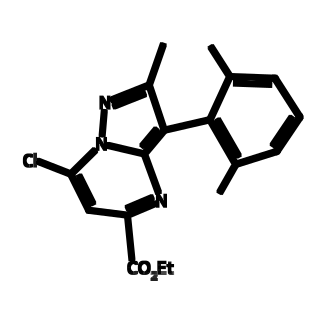 CCOC(=O)c1cc(Cl)n2nc(C)c(-c3c(C)cccc3C)c2n1